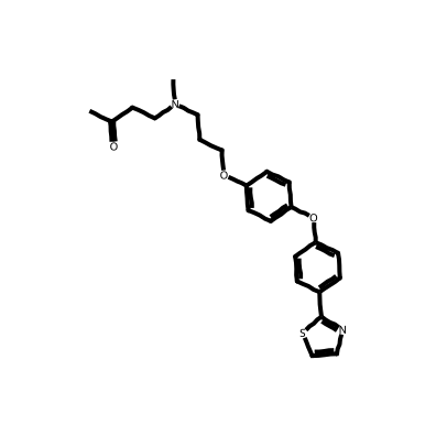 CC(=O)CCN(C)CCCOc1ccc(Oc2ccc(-c3nccs3)cc2)cc1